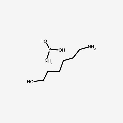 NCCCCCCO.NP(O)O